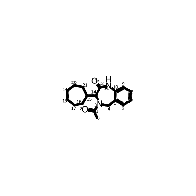 CC(=O)N1Cc2ccccc2NC(=O)C1C1CCCCCC1